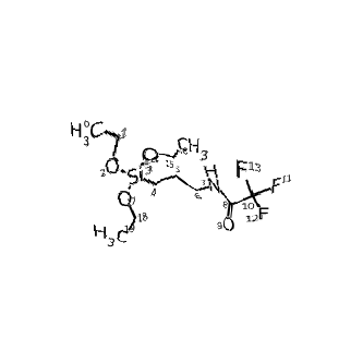 CCO[Si](CCCNC(=O)C(F)(F)F)(OCC)OCC